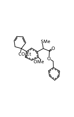 CCOC(=O)C1(c2ccc(OC)c(C(SC)C(=O)OCc3ccccc3)c2)C=CC=CC1